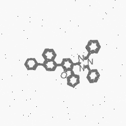 C1=CCCC(c2ccc(-c3ccc(-c4nc(-c5ccccc5)nc(-c5ccccc5)n4)c4c3oc3ccccc34)c3ccccc23)=C1